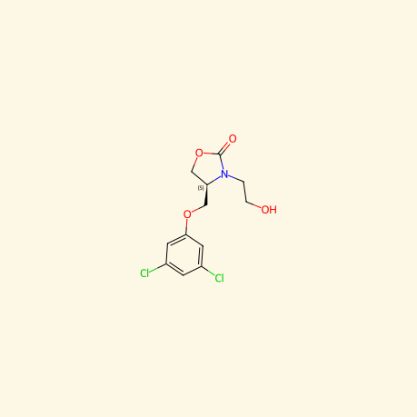 O=C1OC[C@H](COc2cc(Cl)cc(Cl)c2)N1CCO